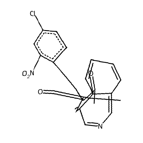 O=C1C=C2C=NC=C3C=CC=CC32C(=O)C1c1ccc(Cl)cc1[N+](=O)[O-]